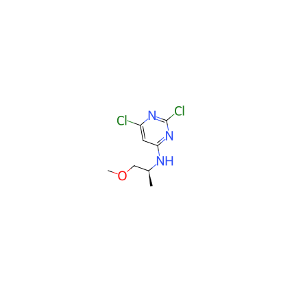 COC[C@H](C)Nc1cc(Cl)nc(Cl)n1